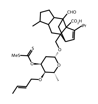 C/C=C/CO[C@H]1[C@@H](OC(=S)SC)C[C@H](OCC23CC4C(C)CCC4C4(C=O)CC2C=C(C(C)C)C43C(=O)O)O[C@@H]1C